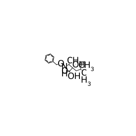 CC(C)C[C@@](O)(C(=O)O)[C@H](C)NOCc1ccccc1